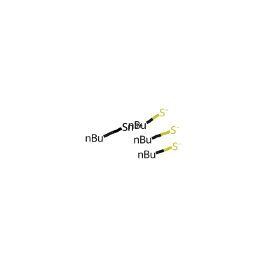 CCCC[S-].CCCC[S-].CCCC[S-].CCC[CH2][Sn+3]